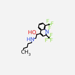 CCCCCNCC(O)c1cc(C(F)(F)F)nc2c(C(F)(F)F)cccc12